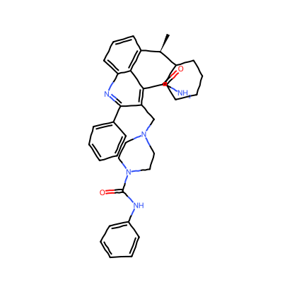 C[C@H](c1cccc2nc(-c3ccccc3)c(CN3CCN(C(=O)Nc4ccccc4)CC3)c(C(N)=O)c12)C1CCCCC1